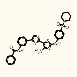 Nc1nc(Nc2ccc(S(=O)(=O)N3CCCCC3)cc2)sc1-c1nc(-c2cccc(NC(=O)c3ccccc3)c2)cs1